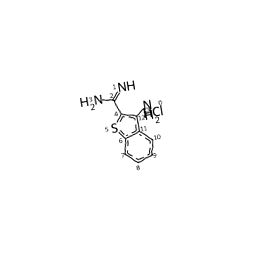 Cl.N=C(N)c1sc2ccccc2c1N